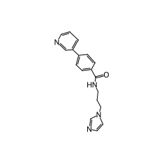 O=C(NCCCn1ccnc1)c1ccc(-c2cccnc2)cc1